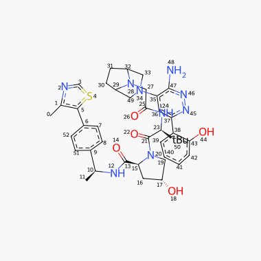 Cc1ncsc1-c1ccc([C@H](C)NC(=O)[C@@H]2C[C@@H](O)CN2C(=O)[C@@H](NC(=O)CN2C3CCC2CN(c2cc(-c4ccccc4O)nnc2N)C3)C(C)(C)C)cc1